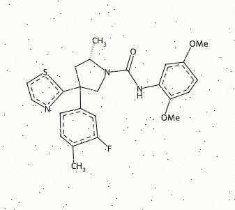 COc1ccc(OC)c(NC(=O)N2CC(c3ccc(C)c(F)c3)(c3nccs3)C[C@@H]2C)c1